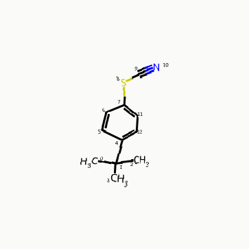 CC(C)(C)c1ccc(SC#N)cc1